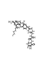 CCCCCNc1nc(N)nc2ccn(Cc3ccc(CN4CCN(CCNC(=O)CC5SCC(C)NC5=O)CC4)cc3OC)c12